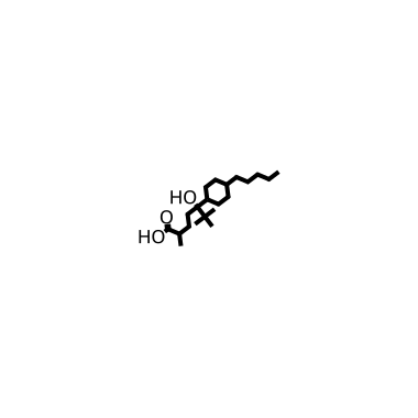 CCCCCC1CCC(C(O)(CCC(C)C(=O)O)C(C)(C)C)CC1